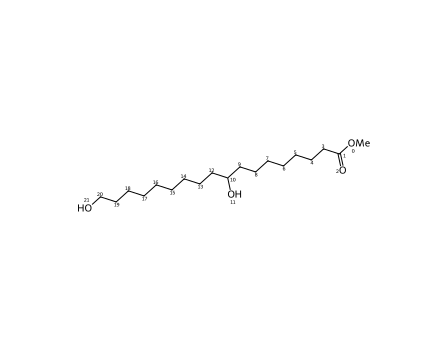 COC(=O)CCCCCCCC(O)CCCCCCCCCO